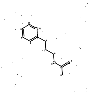 CC(=S)OCCCc1ccccn1